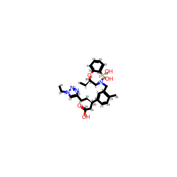 CC[C@@H]1CN(Cc2cc([C@H](CCc3cn(CC)nn3)CC(=O)O)ccc2C)S(O)(O)c2ccccc2O1